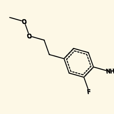 COOCCc1ccc(N)c(F)c1